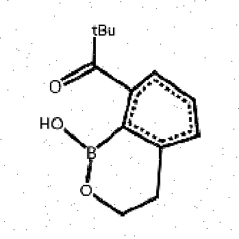 CC(C)(C)C(=O)c1cccc2c1B(O)OCC2